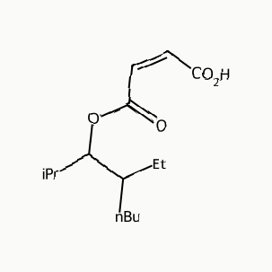 CCCCC(CC)C(OC(=O)/C=C\C(=O)O)C(C)C